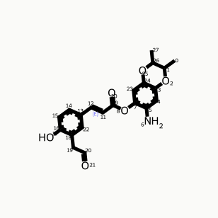 CC1Oc2cc(N)c(OC(=O)/C=C/c3ccc(O)c(CC=O)c3)cc2OC1C